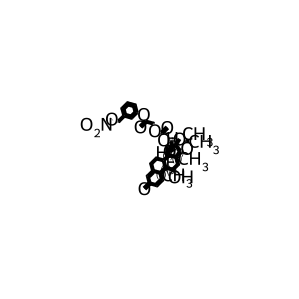 CC1(C)O[C@@H]2C[C@H]3C4CCC5=CC(=O)C=C[C@]5(C)[C@@]4(F)[C@@H](O)C[C@]3(C)[C@]2(C(=O)COC(=O)OCC(=O)Oc2cccc(CO[N+](=O)[O-])c2)O1